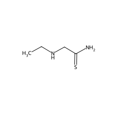 CCNCC(N)=S